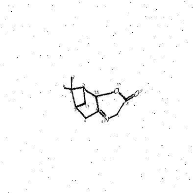 CC1(C)C2CC3=NCC(=O)OC3C1C2